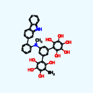 Bc1c(O)c(O)c(O)c(-c2cc(-c3c(O)c(O)c(O)c(O)c3O)cc(N(C)c3ccccc3-c3ccc4c(c3)[nH]c3ccccc34)c2)c1O